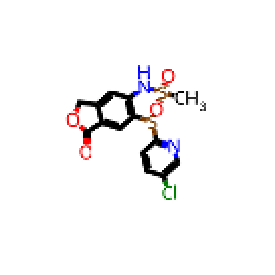 CS(=O)(=O)Nc1cc2c(cc1Sc1ccc(Cl)cn1)C(=O)OC2